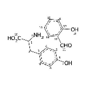 NC(Cc1ccc(O)cc1)C(=O)O.O=Cc1ccccc1O